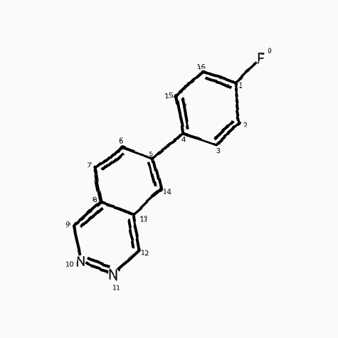 Fc1ccc(-c2ccc3cnncc3c2)cc1